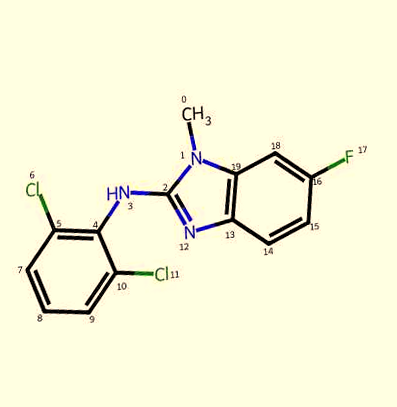 Cn1c(Nc2c(Cl)cccc2Cl)nc2ccc(F)cc21